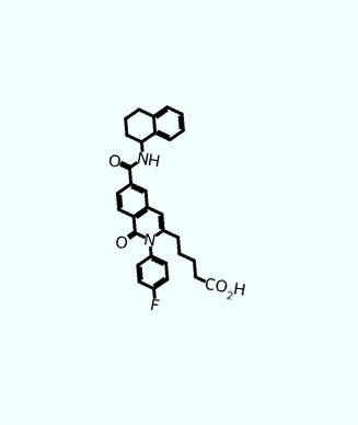 O=C(O)CCCCc1cc2cc(C(=O)NC3CCCc4ccccc43)ccc2c(=O)n1-c1ccc(F)cc1